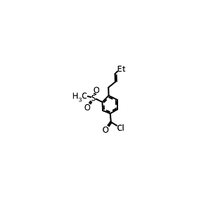 CC/C=C/Cc1ccc(C(=O)Cl)cc1S(C)(=O)=O